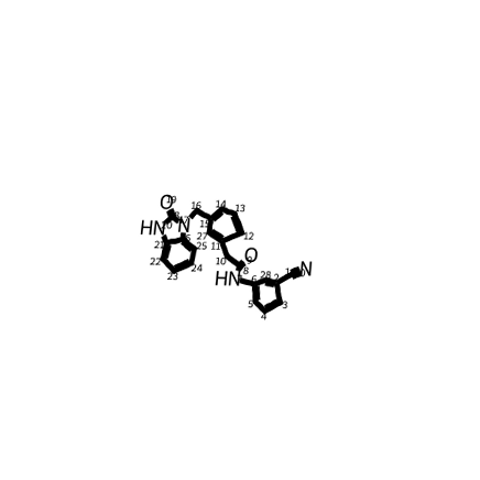 N#Cc1cccc(NC(=O)Cc2cccc(Cn3c(=O)[nH]c4ccccc43)c2)c1